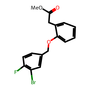 COC(=O)Cc1ccccc1OCc1ccc(F)c(Br)c1